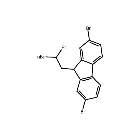 CCCCC(CC)CC1c2cc(Br)ccc2-c2ccc(Br)cc21